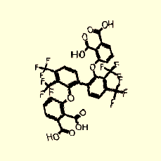 O=C(O)c1cccc(Oc2c(-c3ccc(C(F)(F)F)c(C(F)(F)F)c3Oc3cccc(C(=O)O)c3C(=O)O)ccc(C(F)(F)F)c2C(F)(F)F)c1C(=O)O